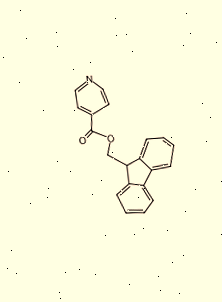 O=C(OCC1c2ccccc2-c2ccccc21)c1ccncc1